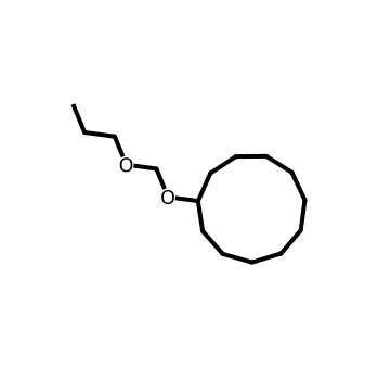 CCCOCOC1CCCCCCCCCC1